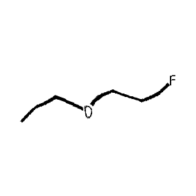 CCOCCF